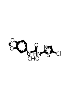 O=CN(C(=O)Nc1ncc(Cl)s1)c1ccc2c(c1)OCO2